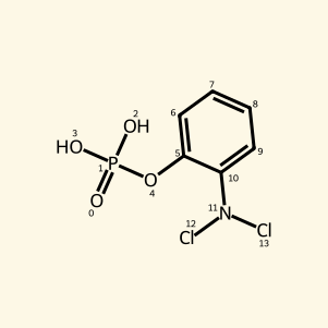 O=P(O)(O)Oc1ccccc1N(Cl)Cl